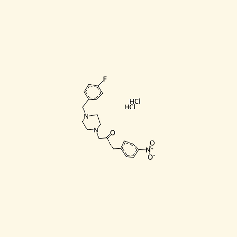 Cl.Cl.O=C(Cc1ccc([N+](=O)[O-])cc1)CN1CCN(Cc2ccc(F)cc2)CC1